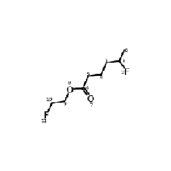 CC(F)CCCC(=O)OCCF